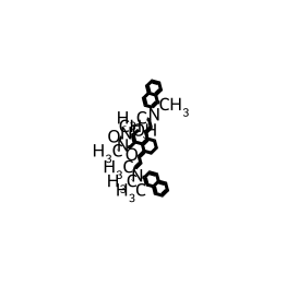 C/C(=C\C=C1/CCCC(/C=C/C(C)=N/c2ccc3ccccc3c2C)=C1c1c(O)n(C)c(=O)n(C)c1=O)N(C)c1ccc2ccccc2c1C